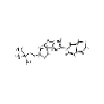 CC(C)(O)CCN1CCC2(CCn3nc(-c4cnc5ccccc5c4)cc32)C1